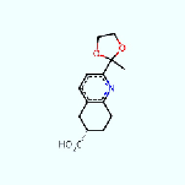 CC1(c2ccc3c(n2)CC[C@H](C(=O)O)C3)OCCO1